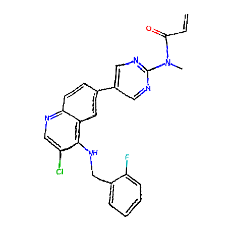 C=CC(=O)N(C)c1ncc(-c2ccc3ncc(Cl)c(NCc4ccccc4F)c3c2)cn1